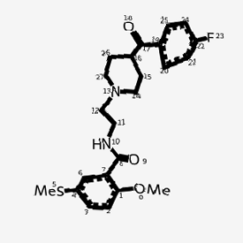 COc1ccc(SC)cc1C(=O)NCCN1CCC(C(=O)c2ccc(F)cc2)CC1